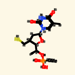 COP(=O)(O)O[C@@H](C)[C@H]1O[C@@H](n2cc(C)c(=O)[nH]c2=O)CC1CS